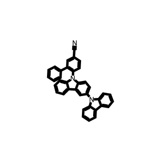 N#Cc1ccc(-n2c3ccccc3c3cc(-n4c5ccccc5c5ccccc54)ccc32)c(-c2ccccc2)c1